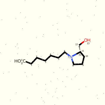 O=C(O)CCCCCCN1CCC[C@H]1CO